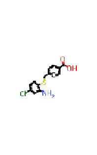 Nc1cc(Cl)ccc1SCc1ccc(C(=O)O)cc1